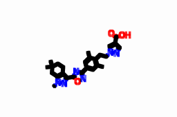 Cc1cc(-c2noc(-c3nn(C)c4c3CCC(C)(C)C4)n2)cc(C)c1CCn1cc(C(=O)O)cn1